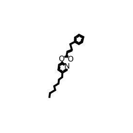 CCCCCCCc1ccc(OC(=O)/C=C/Cc2ccccc2)nc1